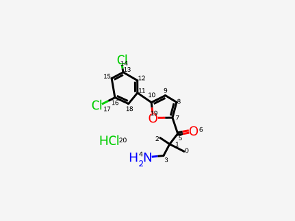 CC(C)(CN)C(=O)c1ccc(-c2cc(Cl)cc(Cl)c2)o1.Cl